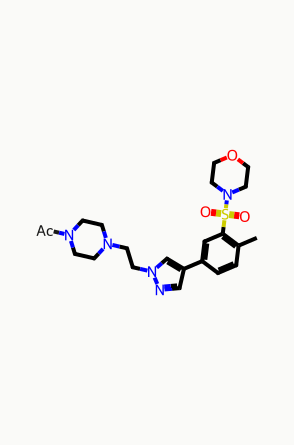 CC(=O)N1CCN(CCn2cc(-c3ccc(C)c(S(=O)(=O)N4CCOCC4)c3)cn2)CC1